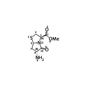 COC(=O)[C@@H]1CSC2C[C@@H](N)C(=O)N21